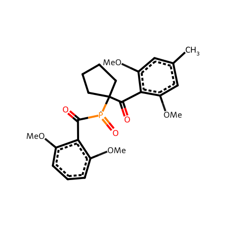 COc1cccc(OC)c1C(=O)[P](=O)C1(C(=O)c2c(OC)cc(C)cc2OC)CCCC1